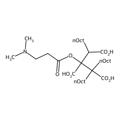 CCCCCCCCC(C(=O)O)C(OC(=O)CCN(C)C)(C(=O)O)C(CCCCCCCC)(CCCCCCCC)C(=O)O